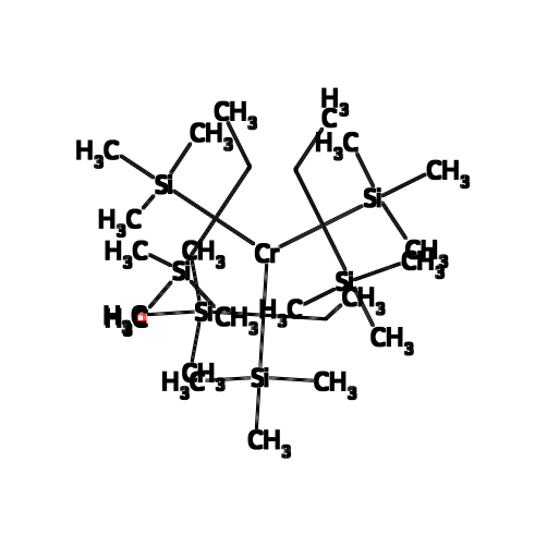 CC[C]([Cr]([C](CC)([Si](C)(C)C)[Si](C)(C)C)[C](CC)([Si](C)(C)C)[Si](C)(C)C)([Si](C)(C)C)[Si](C)(C)C